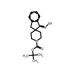 CC(C)(C)OC(=O)N1CCC2(CC1)Cc1ccccc1/C2=N\S